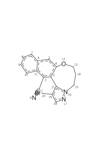 N#Cc1c2c(cc3ccccc13)OCCCn1ncc(Br)c1-2